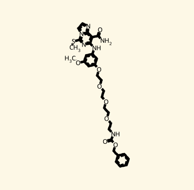 COc1cc(Nc2nc(SC)n3ccnc3c2C(N)=O)cc(OCCOCCOCCOCCNC(=O)OCc2ccccc2)c1